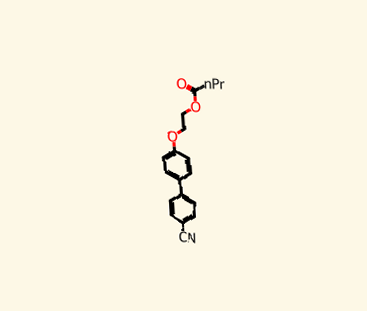 CCCC(=O)OCCOc1ccc(-c2ccc(C#N)cc2)cc1